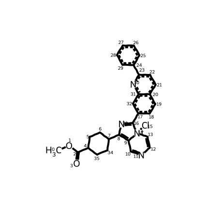 COC(=O)C1CCC(C2=C3C=NC=C[N+]3(Cl)C(c3ccc4ccc(-c5ccccc5)nc4c3)=N2)CC1